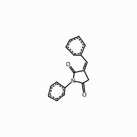 O=C1CC(=Cc2ccccc2)C(=O)N1c1ccccc1